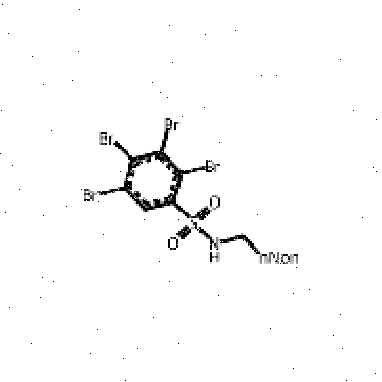 CCCCCCCCCCNS(=O)(=O)c1cc(Br)c(Br)c(Br)c1Br